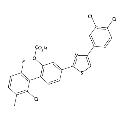 Cc1ccc(F)c(-c2ccc(-c3nc(-c4ccc(Cl)c(Cl)c4)cs3)cc2OC(=O)O)c1Cl